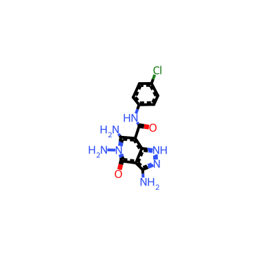 Nc1n[nH]c2c(C(=O)Nc3ccc(Cl)cc3)c(N)n(N)c(=O)c12